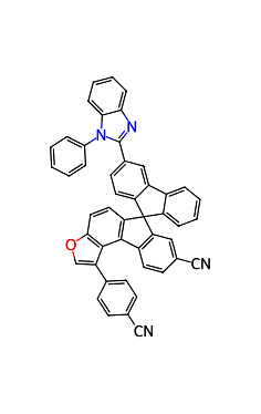 N#Cc1ccc(-c2coc3ccc4c(c23)-c2ccc(C#N)cc2C42c3ccccc3-c3cc(-c4nc5ccccc5n4-c4ccccc4)ccc32)cc1